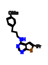 COc1ccc(CCCNc2ncnc3sc(C(C)C)cc23)cc1